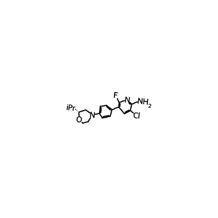 CC(C)[C@@H]1CN(c2ccc(-c3cc(Cl)c(N)nc3F)cc2)CCO1